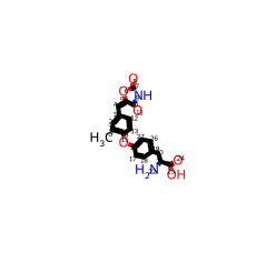 Cc1cc(/C=C2/OC(=O)NC2=O)ccc1Oc1ccc(CC(N)C(=O)O)cc1